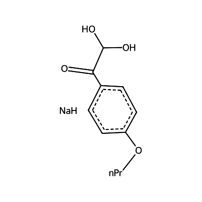 CCCOc1ccc(C(=O)C(O)O)cc1.[NaH]